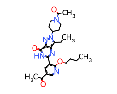 CCCCOc1ncc(C(C)=O)cc1-c1nc2c(CC)n(C3CCN(C(C)=O)CC3)nc2c(=O)[nH]1